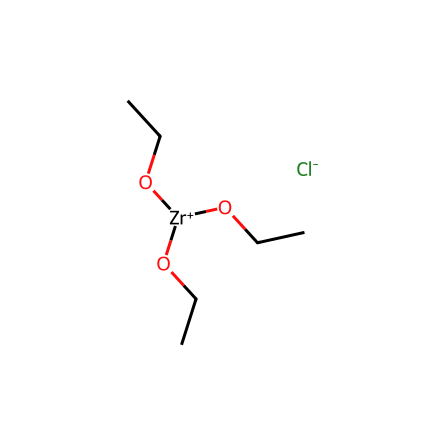 CC[O][Zr+]([O]CC)[O]CC.[Cl-]